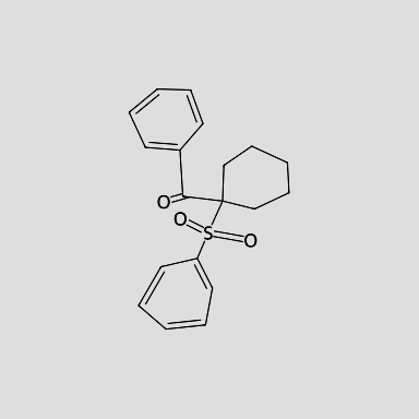 O=C(c1ccccc1)C1(S(=O)(=O)c2ccccc2)CCCCC1